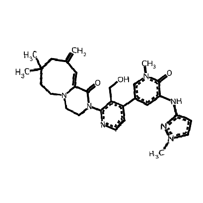 C=C1/C=C2/C(=O)N(c3nccc(-c4cc(Nc5ccn(C)n5)c(=O)n(C)c4)c3CO)CCN2CCC(C)(C)C1